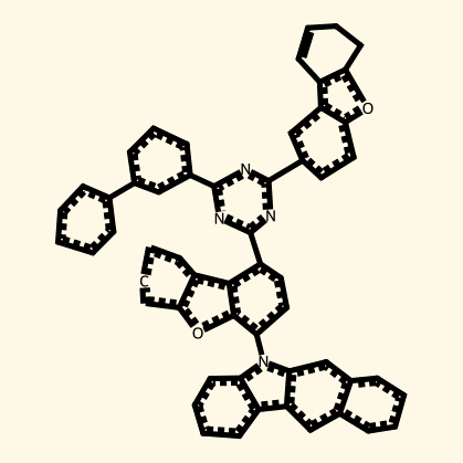 C1=Cc2c(oc3ccc(-c4nc(-c5cccc(-c6ccccc6)c5)nc(-c5ccc(-n6c7ccccc7c7cc8ccccc8cc76)c6oc7ccccc7c56)n4)cc23)CC1